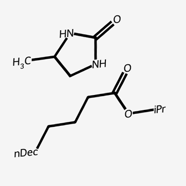 CC1CNC(=O)N1.CCCCCCCCCCCCCC(=O)OC(C)C